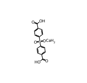 O=C(O)c1ccc(S(=O)(=O)c2ccc(C(=O)O)cc2)cc1.[CaH2]